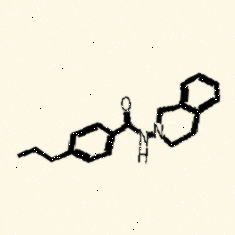 CCCc1ccc(C(=O)NN2CCc3ccccc3C2)cc1